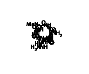 CN[C@H]1CC2C[C@@H]3C[C@@H](C(=O)N[C@H](Cc4ccccc4)C(=O)N[C@@H](CCCNC(=N)N)C(=O)N[C@@H](Cc4c[nH]c5ccccc45)C(=O)N[C@H](C(N)=O)CCCCNC2=O)N(C3)C1=O